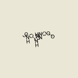 C=CC(=O)Nc1cccc(-c2c[nH]c3cnc(Nc4ccc(OCCOC)cc4)nc23)c1